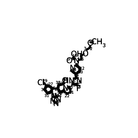 COCCOCCN(C(=O)O)c1ccc(-c2nc(F)c([C@@H]3CCc4cc(-c5cc(Cl)ccc5-n5cnnn5)cc(=O)n43)[nH]2)cn1